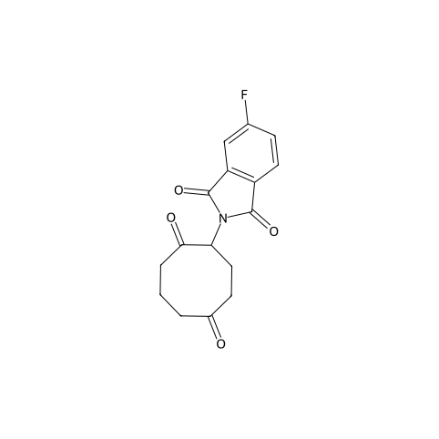 O=C1CCCC(=O)C(N2C(=O)c3ccc(F)cc3C2=O)CC1